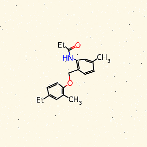 CCC(=O)Nc1cc(C)ccc1COc1ccc(CC)cc1C